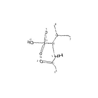 CC(=O)NC(C(C)C)S(=O)(=O)O